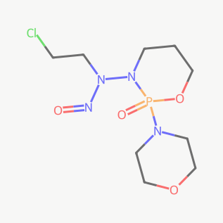 O=NN(CCCl)N1CCCOP1(=O)N1CCOCC1